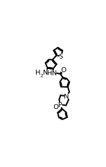 Nc1ccc(-c2cccs2)cc1NC(=O)c1ccc(CN2CCP(=O)(c3ccccc3)CC2)cc1